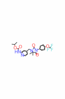 CC(C)OC(=O)Nc1cc(CN2C(=O)N(c3ccc(OC(F)(F)F)cc3)C(=O)C2(C)C)ccn1